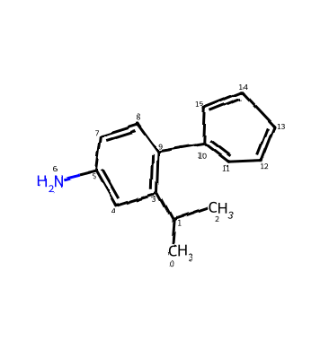 CC(C)c1cc(N)ccc1-c1ccccc1